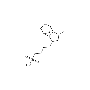 CC1CC(CCCCS(=O)(=O)O)C2C3CCC(C3)C12